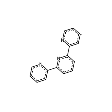 [c]1ccnc(-c2cccc(-c3c[c]ccn3)n2)c1